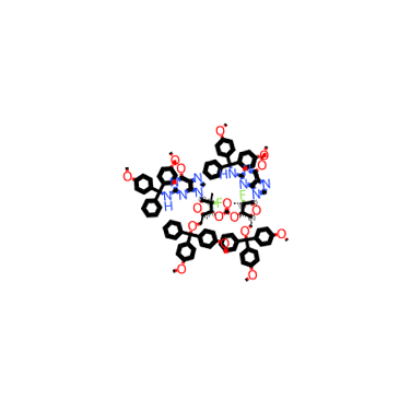 COc1ccc(C(Nc2nc(OC)c3ncn([C@@H]4O[C@H](COC(c5ccccc5)(c5ccc(OC)cc5)c5ccc(OC)cc5)[C@@H](OC(=O)O[C@@H]5[C@@H](COC(c6ccccc6)(c6ccc(OC)cc6)c6ccc(OC)cc6)O[C@@H](n6cnc7c(OC)nc(NC(c8ccccc8)(c8ccc(OC)cc8)c8ccc(OC)cc8)nc76)[C@]5(C)F)[C@@]4(C)F)c3n2)(c2ccccc2)c2ccc(OC)cc2)cc1